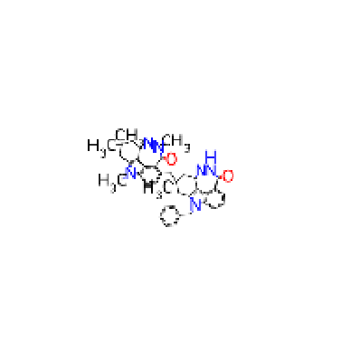 CN1N=C2CC(C)(C)Cc3c2c2c(c(CC4(C)CC5=NNC(=O)c6cccc7c6c5c(n7Cc5ccccc5)C4)ccc2n3C)C1=O